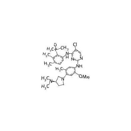 COc1cc(N2CC[C@@H](N(C)C)C2)c(C)cc1Nc1ncc(Cl)c(Nc2ccc(C)c(C)c2P(C)(C)=O)n1